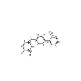 CC1C=CN(Cc2ccc(-c3cccnc3F)cc2)CN1C